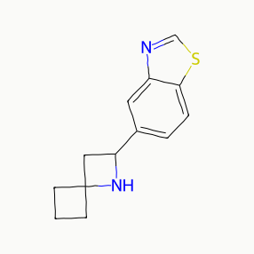 c1nc2cc(C3CC4(CCC4)N3)ccc2s1